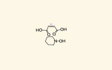 O=C(O)/C=C\C(=O)O.ON1CCCCC1